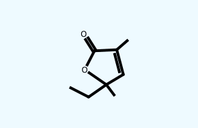 CCC1(C)C=C(C)C(=O)O1